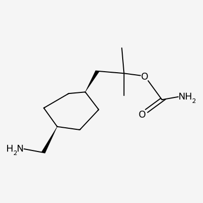 CC(C)(C[C@H]1CC[C@@H](CN)CC1)OC(N)=O